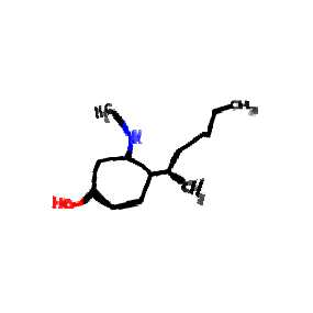 CCCCC(C)C1CCC(O)CC1NC